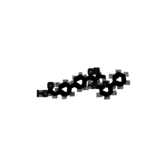 Cc1noc(-c2ccc(-c3ccc(CC(=O)O)cc3)cc2)c1Nc1cccc(-c2ccccc2)n1